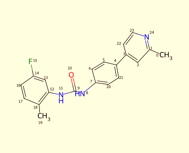 Cc1cc(-c2ccc(NC(=O)Nc3cc(F)ccc3C)cc2)ccn1